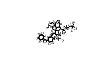 Cn1ccnc1CC(CCC(=O)[N]CCC(C)(C)C)(c1cc2cc(Oc3ccccc3)ccc2nc1N)C1CCOCC1